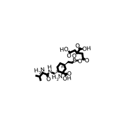 CC(C)[C@H](N)C(=O)NC[C@@H]1CC[C@@H](CCB2OC(=O)CC(CC(=O)O)(C(=O)O)O2)C[C@]1(N)C(=O)O